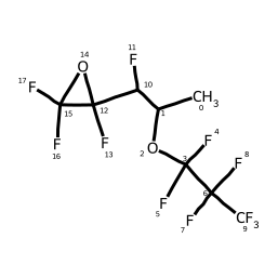 CC(OC(F)(F)C(F)(F)C(F)(F)F)C(F)C1(F)OC1(F)F